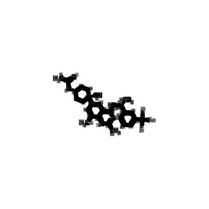 CC(=O)O[C@H]1CC[C@](O)(c2cc(C)c3nc(C)nc(N[C@H](C)c4cccc(C(F)(F)F)c4)c3c2)CC1